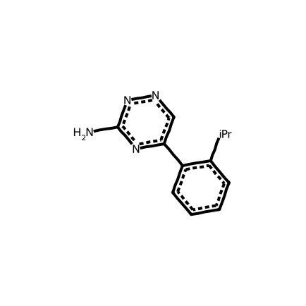 CC(C)c1ccccc1-c1cnnc(N)n1